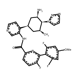 COc1cc(F)c(-c2nc(C(=O)Nc3cnccc3[C@H]3C[C@@H](N)[C@@H](n4ccnn4)[C@@H](C)C3)ccc2F)c(F)c1